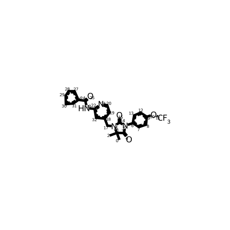 CC1(C)C(=O)N(c2ccc(OC(F)(F)F)cc2)C(=O)N1Cc1ccnc(NC(=O)c2ccccc2)c1